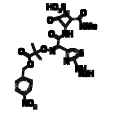 CNC(=O)C1C(NC(=O)/C(=N\OC(C)(C)C(=O)OCc2ccc([N+](=O)[O-])cc2)c2csc(N)n2)C(=O)N1S(=O)(=O)O.[NaH]